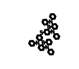 c1ccc(N2c3ccccc3B3c4cc(Sc5ccc6c(c5)B5c7ccccc7N(c7ccccc7)c7cccc(c75)N6c5ccccc5)ccc4N(c4ccccc4)c4cccc2c43)cc1